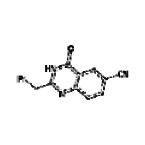 CC(C)Cc1nc2ccc(C#N)cc2c(=O)[nH]1